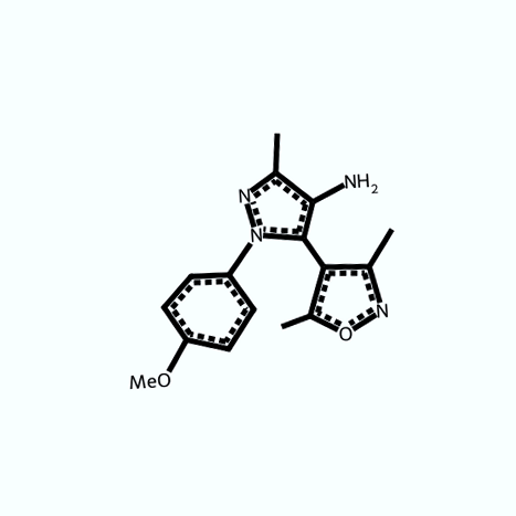 COc1ccc(-n2nc(C)c(N)c2-c2c(C)noc2C)cc1